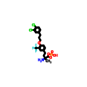 CC(N)(CCc1ccc(OCCCc2ccc(Cl)c(Cl)c2)c(C(F)(F)F)c1)C1OP(=O)(O)O1